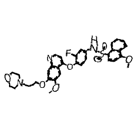 COc1cc2c(Oc3ccc(NS(=O)(=O)c4ccc(OC)c5ccccc45)cc3F)ccnc2cc1OCCN1CCOCC1